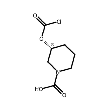 O=C(Cl)O[C@@H]1CCCN(C(=O)O)C1